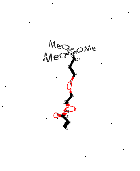 C=CC(=O)OCCOCCC[Si](OC)(OC)OC